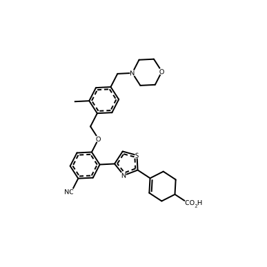 Cc1cc(CN2CCOCC2)ccc1COc1ccc(C#N)cc1-c1csc(C2=CCC(C(=O)O)CC2)n1